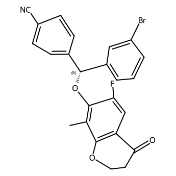 Cc1c(O[C@H](c2ccc(C#N)cc2)c2cccc(Br)c2)c(F)cc2c1OCCC2=O